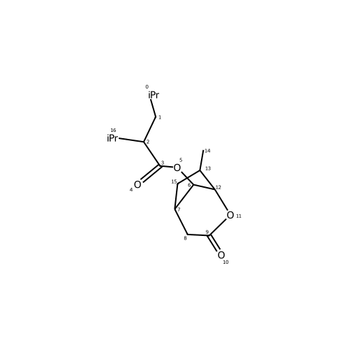 CC(C)CC(C(=O)OC1C2CC(=O)OC1C(C)C2)C(C)C